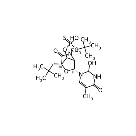 CC1=CN([C@@H]2O[C@@]3(CC(C)(C)C)C(=O)N(C)C2C3OP(O)(=S)OC(C)(C)C)C(O)NC1=O